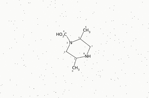 CC1CN(C(=O)O)C(C)CN1